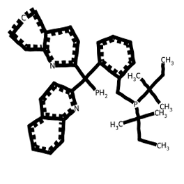 CCC(C)(C)P(Cc1ccccc1C(P)(c1ccc2ccccc2n1)c1ccc2ccccc2n1)C(C)(C)CC